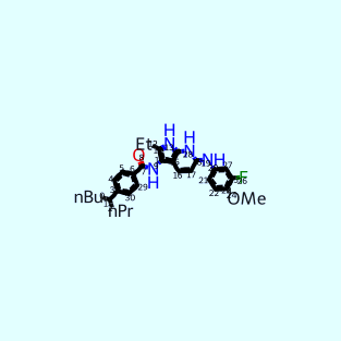 CCCCC(CCC)c1ccc(C(=O)Nc2c(CC)[nH]c3c2C=CC(Nc2ccc(OC)c(F)c2)N3)cc1